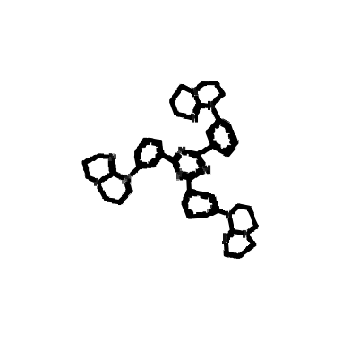 c1cc(-c2nc(-c3cccc(N4CCCN5CCCN=C54)c3)nc(-c3cccc(N4CCCN5CCCN=C54)c3)n2)cc(N2CCCN3CCCN=C32)c1